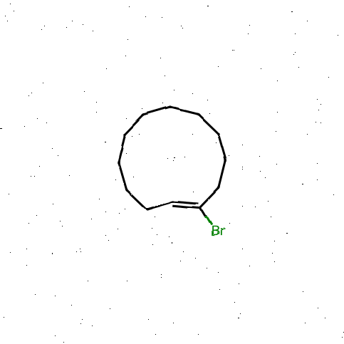 Br/C1=C\CCCCCCCCCC1